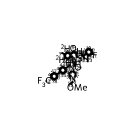 [2H]c1c(C)c([2H])c2c(=O)c([2H])c(SC([2H])([2H])c3cccc(F)c3F)n(C([2H])([2H])C(=O)N(Cc3ccc(-c4ccc(C(F)(F)F)cc4)cc3)C3CCN(CCOC)CC3)c2c1[2H]